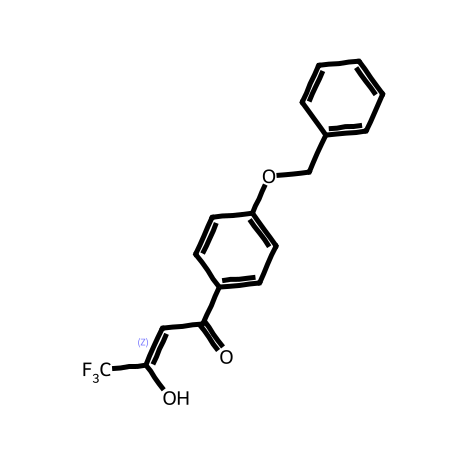 O=C(/C=C(\O)C(F)(F)F)c1ccc(OCc2ccccc2)cc1